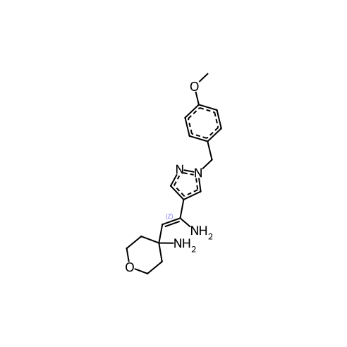 COc1ccc(Cn2cc(/C(N)=C/C3(N)CCOCC3)cn2)cc1